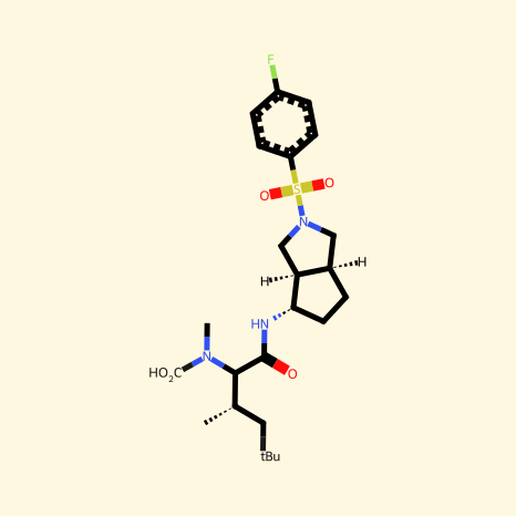 C[C@@H](CC(C)(C)C)C(C(=O)N[C@H]1CC[C@@H]2CN(S(=O)(=O)c3ccc(F)cc3)C[C@@H]21)N(C)C(=O)O